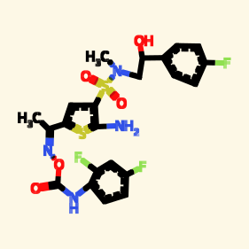 C/C(=N/OC(=O)Nc1ccc(F)cc1F)c1cc(S(=O)(=O)N(C)CC(O)c2ccc(F)cc2)c(N)s1